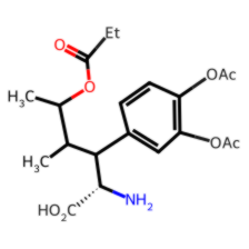 CCC(=O)OC(C)C(C)C(c1ccc(OC(C)=O)c(OC(C)=O)c1)[C@H](N)C(=O)O